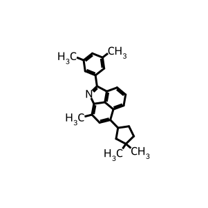 Cc1cc(C)cc(C2=Nc3c(C)cc(C4CCC(C)(C)C4)c4cccc2c34)c1